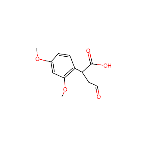 COc1ccc(C(CC=O)C(=O)O)c(OC)c1